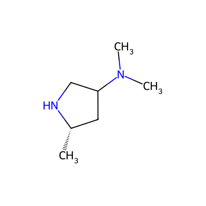 C[C@H]1CC(N(C)C)CN1